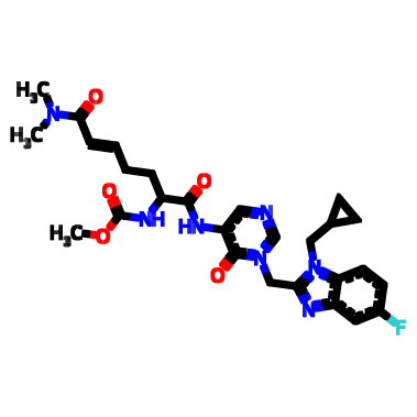 COC(=O)NC(CCC=CC(=O)N(C)C)C(=O)Nc1cncn(Cc2nc3cc(F)ccc3n2CC2CC2)c1=O